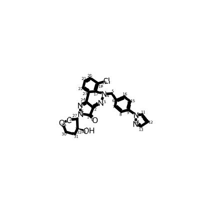 O=c1c2nn(Cc3ccc(-n4cccn4)cc3)c3c(Cl)cccc3c-2nn1[C@H]1COCC[C@@H]1O